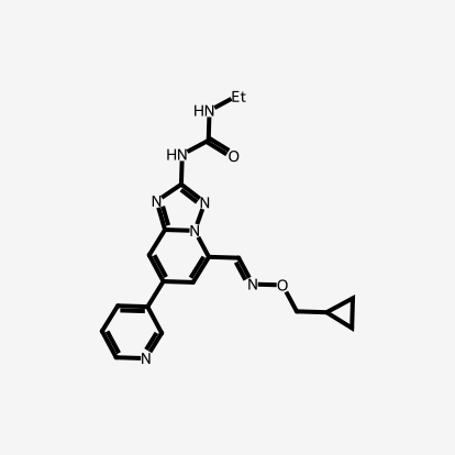 CCNC(=O)Nc1nc2cc(-c3cccnc3)cc(/C=N/OCC3CC3)n2n1